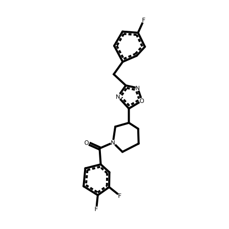 O=C(c1ccc(F)c(F)c1)N1CCCC(c2nc(Cc3ccc(F)cc3)no2)C1